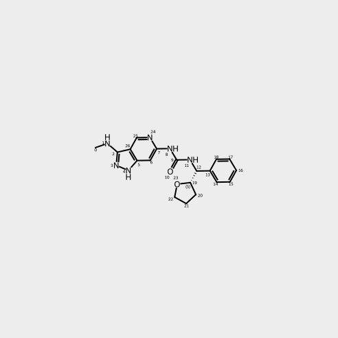 CNc1n[nH]c2cc(NC(=O)NC(c3ccccc3)[C@@H]3CCCO3)ncc12